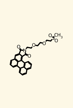 CS(=O)(=O)CCOCCOCCn1c(=O)c2cc3cccc4c5cccc6cccc(c65)c(c2c1=O)c34